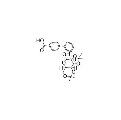 CC1(C)O[C@@H]2[C@H](O1)[C@@H](Oc1ccccc1-c1ccc(C(=O)O)cc1)O[C@@H]1COC(C)(C)O[C@@H]21